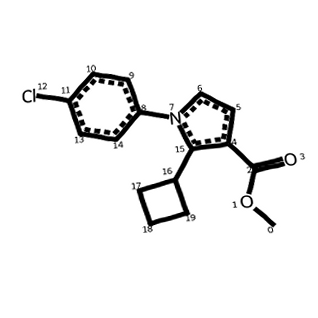 COC(=O)c1ccn(-c2ccc(Cl)cc2)c1C1CCC1